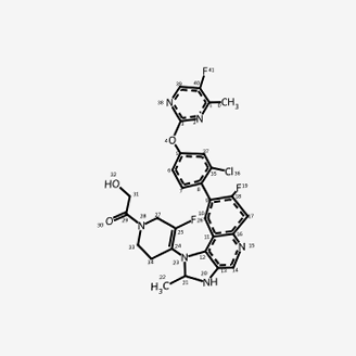 Cc1nc(Oc2ccc(-c3cc4c5c(cnc4cc3F)NC(C)N5C3=C(F)CN(C(=O)CO)CC3)c(Cl)c2)ncc1F